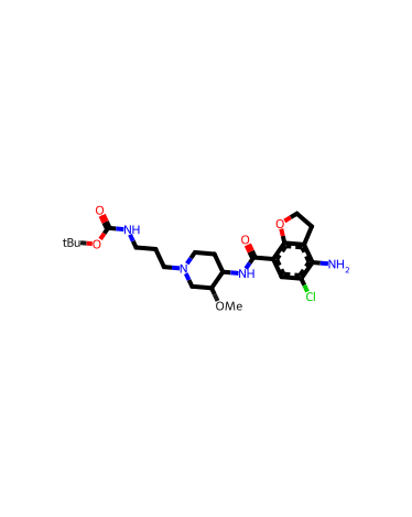 COC1CN(CCCNC(=O)OC(C)(C)C)CCC1NC(=O)c1cc(Cl)c(N)c2c1OCC2